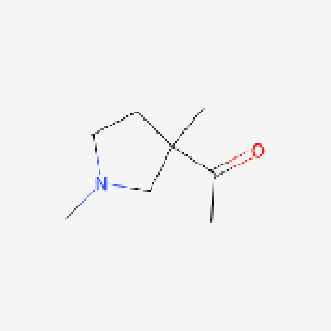 CC(=O)C1(C)CCN(C)C1